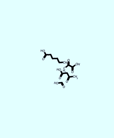 CC(=O)C(=O)O.CC(=O)CC(=O)O.CCCCCC(=O)O.O=CO